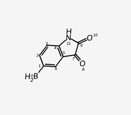 Bc1ccc2c(c1)C(=O)C(=O)N2